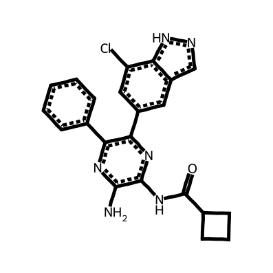 Nc1nc(-c2ccccc2)c(-c2cc(Cl)c3[nH]ncc3c2)nc1NC(=O)C1CCC1